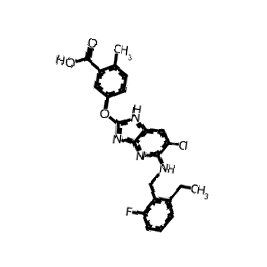 CCc1cccc(F)c1CNc1nc2nc(Oc3ccc(C)c(C(=O)O)c3)[nH]c2cc1Cl